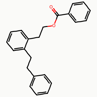 O=C(OCCc1ccccc1CCc1ccccc1)c1ccccc1